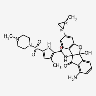 Cc1cc(S(=O)(=O)N2CCN(C)CC2)[nH]c1C(=O)NC12C(=O)c3c(N)cccc3C1(O)Oc1cc([C@@H]3C[C@H]3C)ccc12